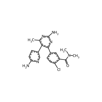 Cc1nc(N)nc(-c2ccc(Cl)c(C(=O)N(C)C)c2)c1-c1ccc(N)nc1